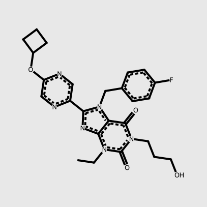 CCn1c(=O)n(CCCO)c(=O)c2c1nc(-c1cnc(OC3CCC3)cn1)n2Cc1ccc(F)cc1